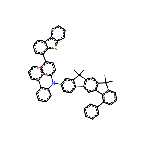 CC1(C)c2cc(N(c3ccc(-c4cccc5c4sc4ccccc45)cc3)c3ccccc3-c3ccccc3)ccc2-c2cc3c(cc21)C(C)(C)c1cccc(-c2ccccc2)c1-3